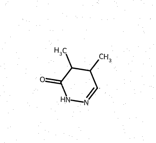 CC1[C]=NNC(=O)C1C